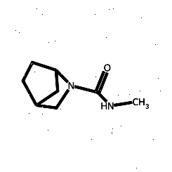 CNC(=O)N1CC2CCC1C2